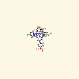 CC(C)(C)C1(Nc2ccc(N3CCC(O)(C4CC4)CC3)cn2)c2c(cccc2-c2cnc3cc(F)ccn23)C(=O)N1C(=O)O